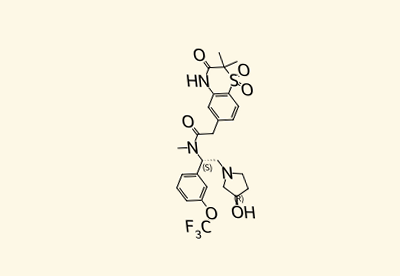 CN(C(=O)Cc1ccc2c(c1)NC(=O)C(C)(C)S2(=O)=O)[C@H](CN1CC[C@@H](O)C1)c1cccc(OC(F)(F)F)c1